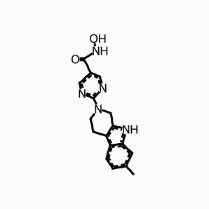 Cc1ccc2c3c([nH]c2c1)CN(c1ncc(C(=O)NO)cn1)CC3